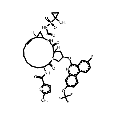 Cc1ccc(C(=O)N[C@H]2CCCCC/C=C\[C@@H]3C[C@@]3(C(=O)NS(=O)(=O)C3(C)CC3)NC(=O)[C@@H]3C[C@@H](Oc4nc5cc(OC(F)(F)F)ccc5c5ccc(F)cc45)CN3C2=O)s1